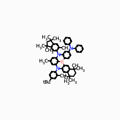 Cc1cc2c3c(c1)N(c1ccc(C(C)(C)C)cc1C)c1cc4c(cc1B3c1ccc(N(c3ccccc3)c3ccccc3)cc1N2c1cc2c(cc1C)C(C)(C)CC2(C)C)C(C)(C)CCC4(C)C